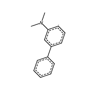 CN(C)c1[c]ccc(-c2ccccc2)c1